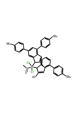 CC1=Cc2c(-c3ccc(C(C)(C)C)cc3)cc(-c3ccc(C(C)(C)C)cc3)cc2[CH]1[Zr]([Cl])([Cl])([CH]1C(C(C)C)=Cc2c(-c3ccc(C(C)(C)C)cc3)cccc21)[SiH](C)C